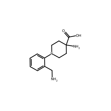 NCc1ccccc1N1CCC(N)(C(=O)O)CC1